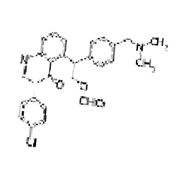 CN(C)Cc1ccc(C(COC=O)c2cccc3c2C(=O)C(c2ccc(Cl)cc2)C=N3)cc1